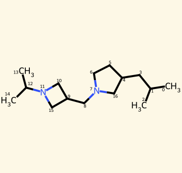 CC(C)CC1CCN(CC2CN(C(C)C)C2)C1